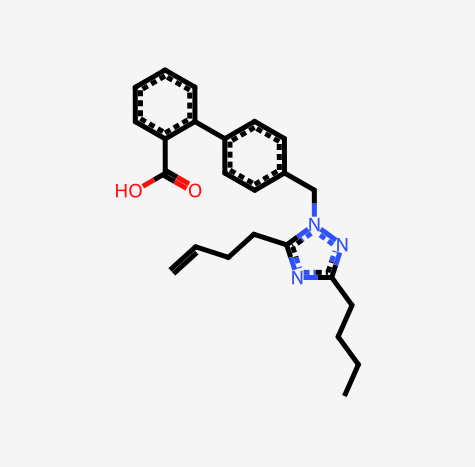 C=CCCc1nc(CCCC)nn1Cc1ccc(-c2ccccc2C(=O)O)cc1